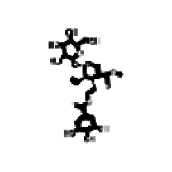 C=C[C@H]1[C@H](OC2OC(CO)C(O)C(O)C2O)OC=C(C(=O)OC)[C@H]1CCOC(=O)c1cc(O)c(O)c(O)c1